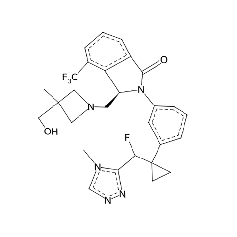 Cn1cnnc1C(F)C1(c2cccc(N3C(=O)c4cccc(C(F)(F)F)c4[C@@H]3CN3CC(C)(CO)C3)c2)CC1